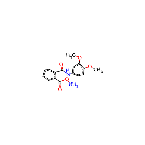 COc1ccc(NC(=O)c2ccccc2C(=O)ON)cc1OC